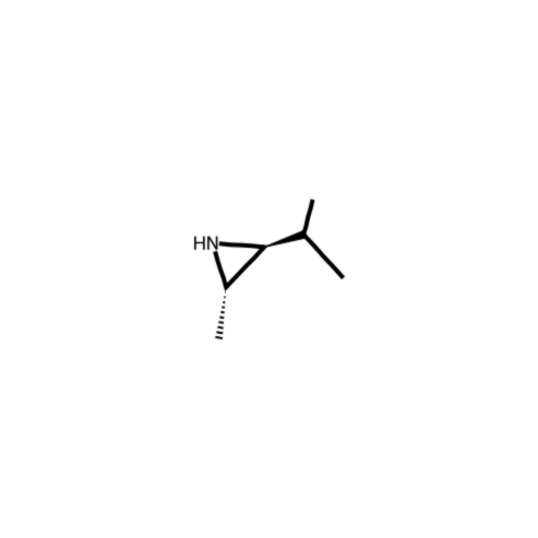 CC(C)[C@@H]1N[C@H]1C